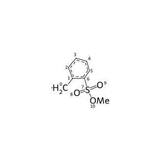 [CH2]c1ccccc1S(=O)(=O)OC